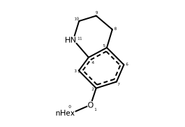 CCCCCCOc1[c]c2c(cc1)CCCN2